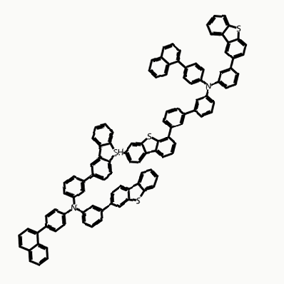 c1cc(-c2cccc(N(c3ccc(-c4cccc5ccccc45)cc3)c3cccc(-c4ccc5sc6ccccc6c5c4)c3)c2)cc(-c2cccc3c2sc2cc([SH]4c5ccccc5-c5cc(-c6cccc(N(c7ccc(-c8cccc9ccccc89)cc7)c7cccc(-c8ccc9c(c8)sc8ccccc89)c7)c6)ccc54)ccc23)c1